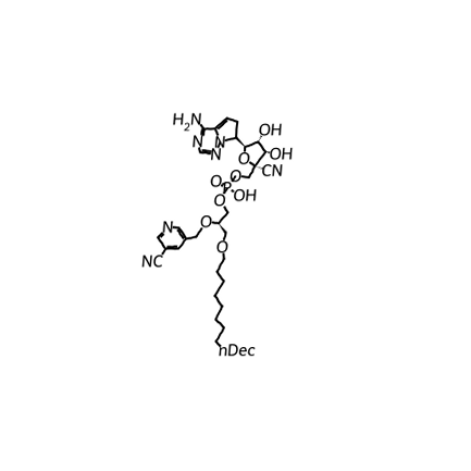 CCCCCCCCCCCCCCCCCCOC[C@H](COP(=O)(O)OC[C@@]1(C#N)O[C@@H](C2CC=C3C(N)=NC=NN32)[C@H](O)[C@@H]1O)OCc1cncc(C#N)c1